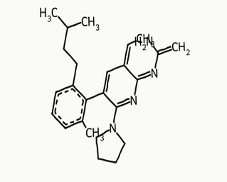 C=C(N)/N=C1/N=C(N2CCCC2)C(c2c(C)cccc2CCC(C)C)=C/C1=C/C